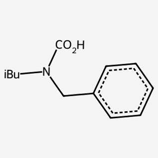 CCC(C)N(Cc1ccccc1)C(=O)O